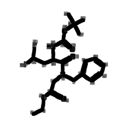 CCOC(=O)CN(Cc1ccccc1)C(=O)C(CC(F)F)NC(=O)OC(C)(C)C